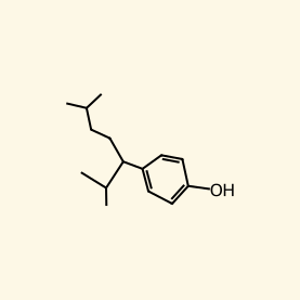 CC(C)CCC(c1ccc(O)cc1)C(C)C